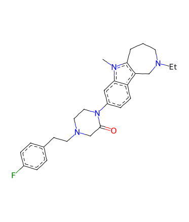 CCN1CCCc2c(c3ccc(N4CCN(CCc5ccc(F)cc5)CC4=O)cc3n2C)C1